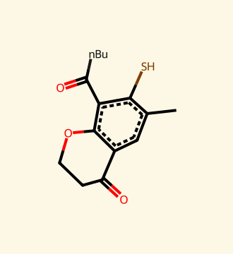 CCCCC(=O)c1c(S)c(C)cc2c1OCCC2=O